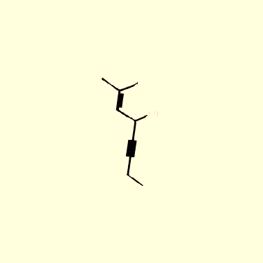 CCC#CC(O)C=C(C)C